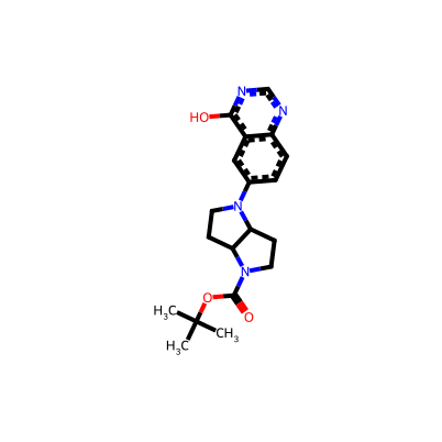 CC(C)(C)OC(=O)N1CCC2C1CCN2c1ccc2ncnc(O)c2c1